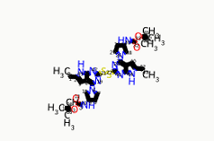 CCc1cc2c(N3CC[C@@H](NC(=O)OC(C)(C)C)C3)nc(SSc3nc(N4CC[C@@H](NC(=O)OC(C)(C)C)C4)c4cc(CC)[nH]c4n3)nc2[nH]1